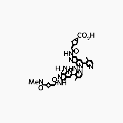 CNC(=O)C1CC(=CC(=O)Nc2cc3cc(-c4c(C)ccnc4Nc4nc(-c5cnccc5C)cc5cc(NC(=O)C=C6CC7C(C6)C7C(=O)O)ncc45)nc(N)c3cn2)C1